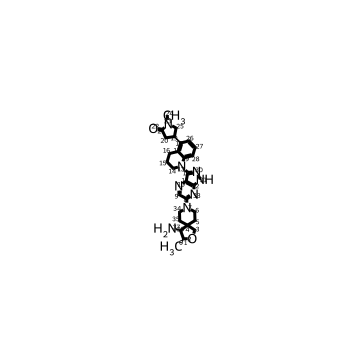 C[C@@H]1OCC2(CCN(c3cnc4c(N5CCCc6c([C@H]7CC(=O)N(C)C7)cccc65)n[nH]c4n3)CC2)[C@@H]1N